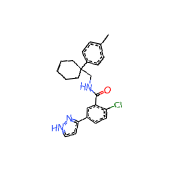 Cc1ccc(C2(CNC(=O)c3cc(-c4cc[nH]n4)ccc3Cl)CCCCC2)cc1